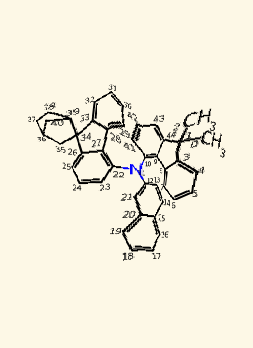 CC1(C)c2ccccc2-c2c(N(c3ccc4ccccc4c3)c3cccc4c3-c3ccccc3C43CC4CCC3C4)cccc21